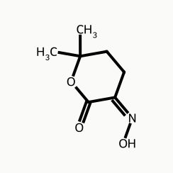 CC1(C)CCC(=NO)C(=O)O1